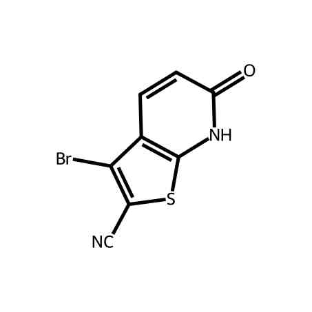 N#Cc1sc2[nH]c(=O)ccc2c1Br